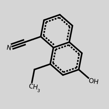 CCc1cc(O)cc2cccc(C#N)c12